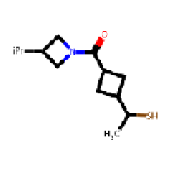 CC(C)C1CN(C(=O)C2CC(C(C)S)C2)C1